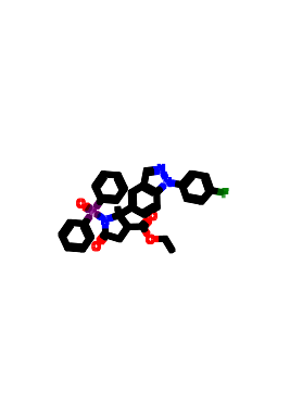 CCOC(=O)C1CC(=O)N(P(=O)(c2ccccc2)c2ccccc2)C1(C)c1ccc2c(cnn2-c2ccc(F)cc2)c1